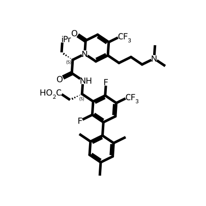 Cc1cc(C)c(-c2cc(C(F)(F)F)c(F)c([C@H](CC(=O)O)NC(=O)[C@H](CC(C)C)n3cc(CCCN(C)C)c(C(F)(F)F)cc3=O)c2F)c(C)c1